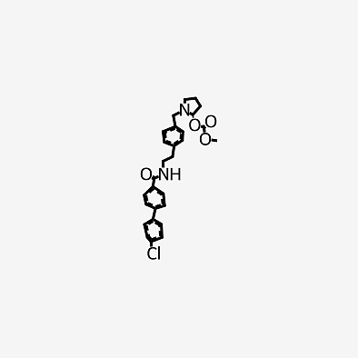 COC(=O)O[C@H]1CCCN1Cc1ccc(CCNC(=O)c2ccc(-c3ccc(Cl)cc3)cc2)cc1